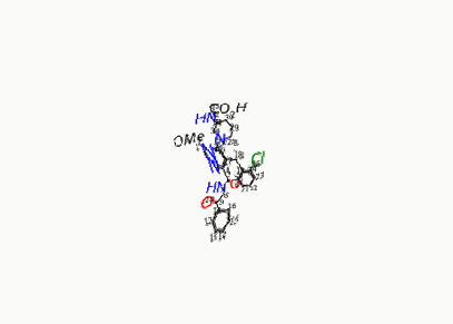 COCn1nc(C(=O)NCC(=O)c2ccccc2)c(Cc2ccccc2Cl)c1N1CCC[C@@H](NC(=O)O)C1